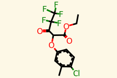 CCOC(=O)C(Oc1ccc(Cl)c(C)c1)C(=O)C(F)(F)C(F)(F)F